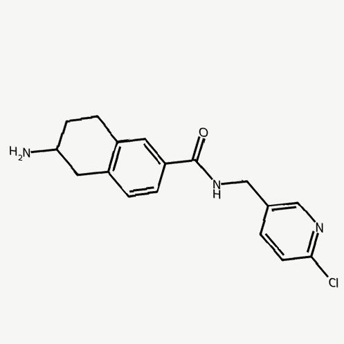 NC1CCc2cc(C(=O)NCc3ccc(Cl)nc3)ccc2C1